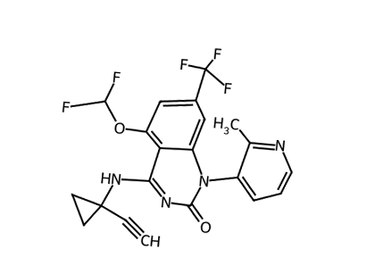 C#CC1(Nc2nc(=O)n(-c3cccnc3C)c3cc(C(F)(F)F)cc(OC(F)F)c23)CC1